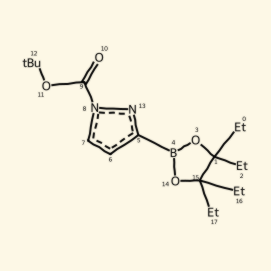 CCC1(CC)OB(c2ccn(C(=O)OC(C)(C)C)n2)OC1(CC)CC